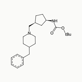 CC(C)(C)OC(=O)N[C@@H]1CC[C@H](CN2CCC(Cc3ccccc3)CC2)C1